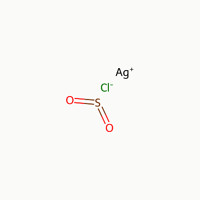 O=S=O.[Ag+].[Cl-]